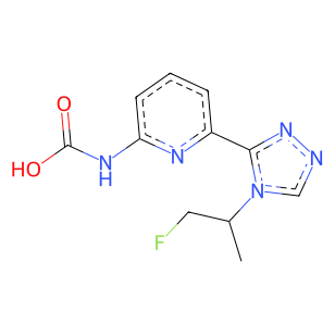 CC(CF)n1cnnc1-c1cccc(NC(=O)O)n1